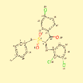 Cc1ccc(CS(=O)(=O)C(=Cc2cccc(Cl)c2Cl)C(=O)c2ccc(Cl)cc2)cc1